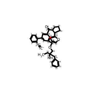 [C-]#[N+]c1ccccc1-c1cc(COCC(N)(CC)Cc2ccccc2)cc(C(=O)C2CCCC2c2ccco2)c1